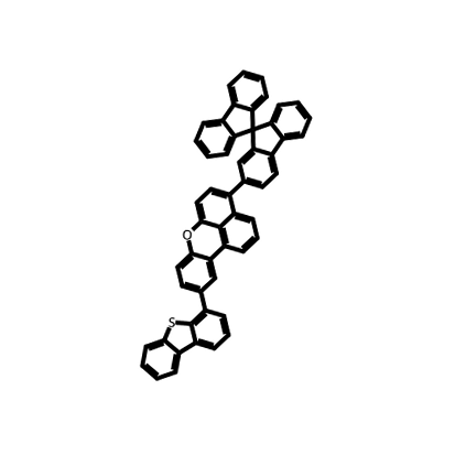 c1ccc2c(c1)-c1ccccc1C21c2ccccc2-c2ccc(-c3ccc4c5c(cccc35)-c3cc(-c5cccc6c5sc5ccccc56)ccc3O4)cc21